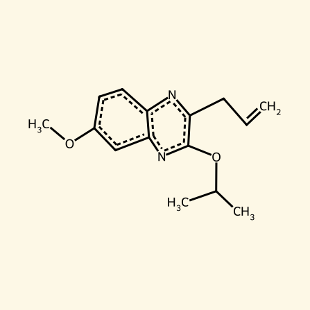 C=CCc1nc2ccc(OC)cc2nc1OC(C)C